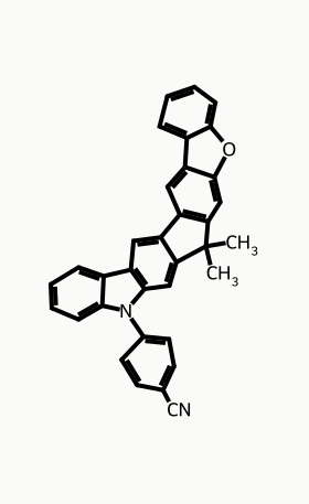 CC1(C)c2cc3oc4ccccc4c3cc2-c2cc3c4ccccc4n(-c4ccc(C#N)cc4)c3cc21